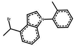 Cc1ccccc1-n1ccc2c(C(C)Br)cccc21